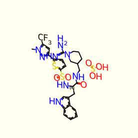 Cn1nc(-c2ccc(S(=O)(=O)N[C@H](Cc3c[nH]c4ccccc34)C(=O)NCC3CCCN(C(=N)N)C3)s2)cc1C(F)(F)F.O=S(O)O